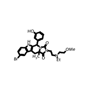 CCN(CCOC)CCN1C(=O)N2C(c3cccc(O)c3)c3[nH]c4ccc(Br)cc4c3CC2(C)C1=O